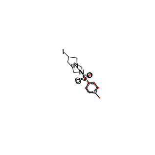 Cc1ccc(S(=O)(=O)N2CC34CC(I)CC3(C2)CN(S(=O)(=O)c2ccc(C)cc2)C4)cc1